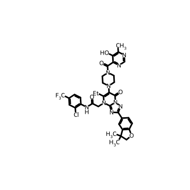 CCc1c(N2CCN(C(=O)c3ncnc(C)c3O)CC2)c(=O)n2nc(-c3ccc4c(c3)C(C)(C)CO4)nc2n1CC(=O)Nc1ccc(C(F)(F)F)cc1Cl